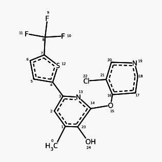 Cc1cc(-c2ccc(C(F)(F)F)s2)nc(Oc2ccncc2Cl)c1O